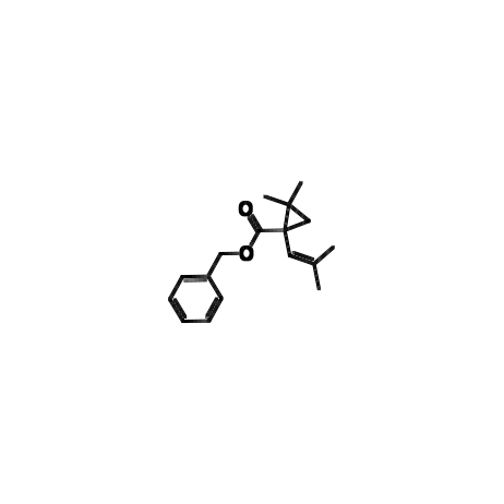 CC(C)=CC1(C(=O)OCc2ccccc2)CC1(C)C